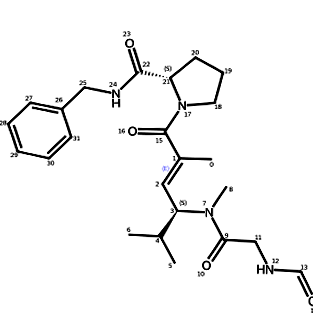 C/C(=C\[C@H](C(C)C)N(C)C(=O)CNC=O)C(=O)N1CCC[C@H]1C(=O)NCc1ccccc1